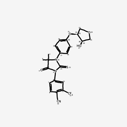 CC1(C)C(=O)N(c2ccc(C#N)c(C(F)(F)F)c2)C(=S)N1c1ccc(O[C@H]2COC[C@H]2O)cc1